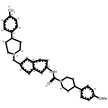 COc1ccc(C2CCN(C(=O)Nc3ccc4cc(CN5CCC(c6ccc(C)cc6)CC5)ccc4c3)CC2)cc1